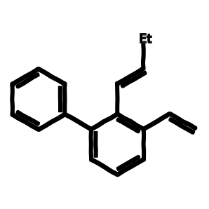 C=Cc1cccc(-c2ccccc2)c1C=CCC